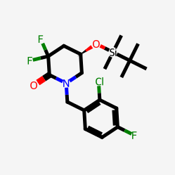 CC(C)(C)[Si](C)(C)O[C@H]1CN(Cc2ccc(F)cc2Cl)C(=O)C(F)(F)C1